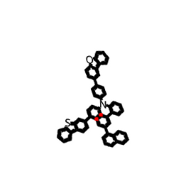 c1cc(-c2ccccc2N(c2ccc(-c3ccc4c(c3)sc3ccccc34)cc2)c2ccc(-c3ccc4oc5ccccc5c4c3)cc2)cc(-c2cccc3ccccc23)c1